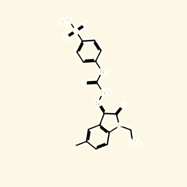 CCN1C(=O)C(=NNC(=S)Nc2ccc(S(N)(=O)=O)cc2)c2cc(I)ccc21